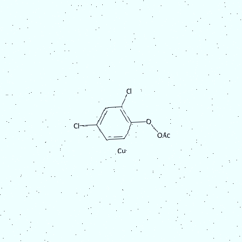 CC(=O)OOc1ccc(Cl)cc1Cl.[Cu]